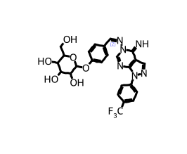 N=c1c2cnn(-c3ccc(C(F)(F)F)cc3)c2ncn1/N=C\c1ccc(OC2OC(CO)C(O)C(O)C2O)cc1